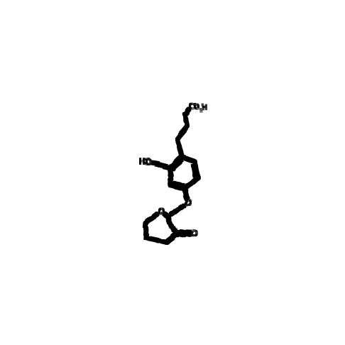 O=C(O)CCCc1ccc(OC2OCCCC2=O)cc1O